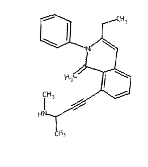 C=C1c2c(C#CC(C)NC)cccc2C=C(CC)N1c1ccccc1